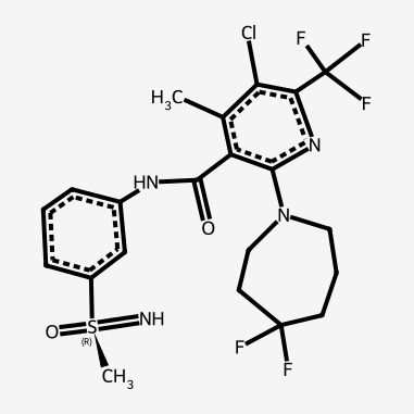 Cc1c(Cl)c(C(F)(F)F)nc(N2CCCC(F)(F)CC2)c1C(=O)Nc1cccc([S@](C)(=N)=O)c1